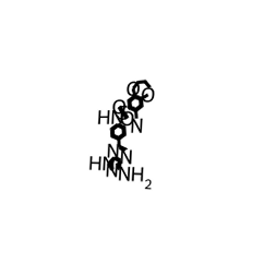 N#Cc1cc2c(cc1S(=O)(=O)Nc1ccc(-c3cnc4c(N)n[nH]c4n3)cc1)OCCCO2